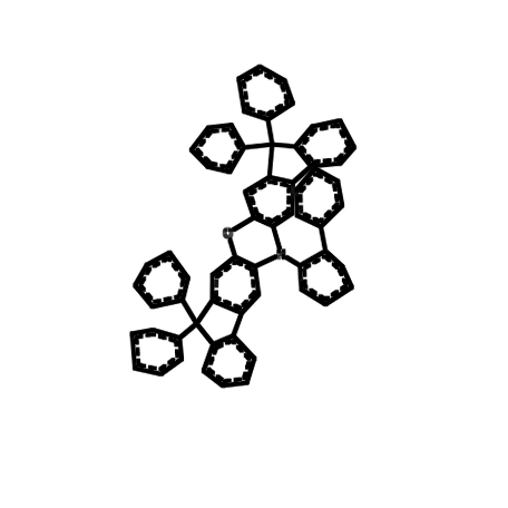 c1ccc(-c2ccccc2N2c3cc4c(cc3Oc3cc5c(cc32)-c2ccccc2C5(c2ccccc2)c2ccccc2)C(c2ccccc2)(c2ccccc2)c2ccccc2-4)cc1